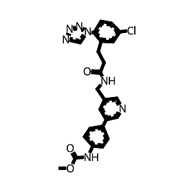 COC(=O)Nc1ccc(-c2cncc(CNC(=O)CCc3cc(Cl)ccc3-n3cnnn3)c2)cc1